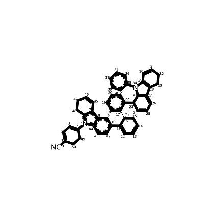 N#CC1=CC=C(n2c3c(c4cc(C5=CC=CC[C@H]5c5ccccc5C5C=CC=C6C7=C(C=CCC7)N(c7ccccc7)C65)ccc42)C=CCC3)CC1